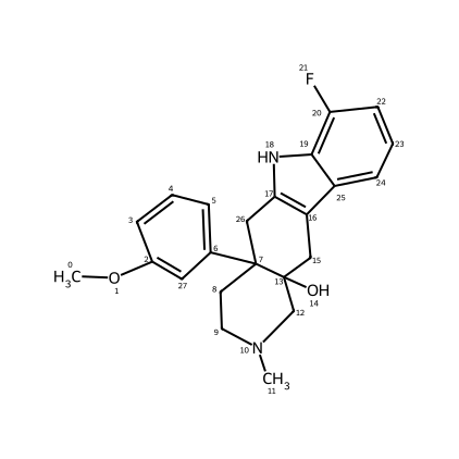 COc1cccc(C23CCN(C)CC2(O)Cc2c([nH]c4c(F)cccc24)C3)c1